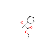 CCOC(=O)C(C)([O])c1ccccc1